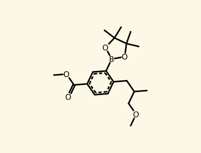 COCC(C)Cc1ccc(C(=O)OC)cc1B1OC(C)(C)C(C)(C)O1